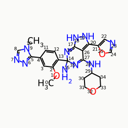 COc1cc(-c2nncn2C)ccc1C1(N)N=C2NNC(c3cnco3)=C2C(NC2CCOCC2)=N1